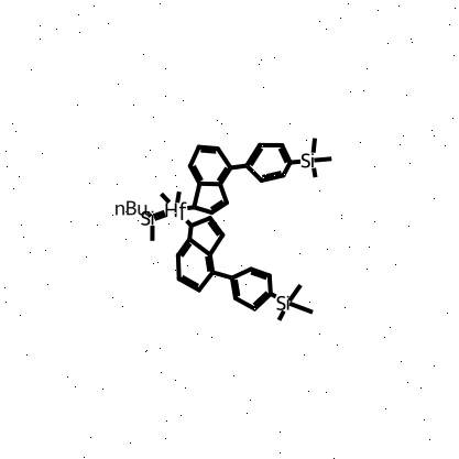 CCCC[Si](C)=[Hf]([CH3])([CH3])([CH]1C=Cc2c(-c3ccc([Si](C)(C)C)cc3)cccc21)[CH]1C=Cc2c(-c3ccc([Si](C)(C)C)cc3)cccc21